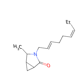 CC/C=C\CC/C=C/CN1C(=O)C2CC2C1C